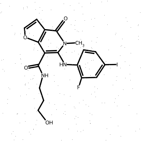 Cn1c(Nc2ccc(I)cc2F)c(C(=O)NCCCO)c2occc2c1=O